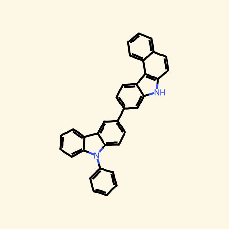 c1ccc(-n2c3ccccc3c3cc(-c4ccc5c(c4)[nH]c4ccc6ccccc6c45)ccc32)cc1